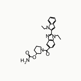 CCn1c(-c2nc3cc(C(=O)N4CCCC(OC(N)=O)C4)ccc3n2CC)cc2ccccc21